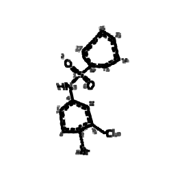 O=S(=O)(Nc1ccc(Br)c(Cl)c1)c1ccccc1